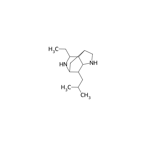 CCC1NC2CC3CNC(C2CC(C)C)C31